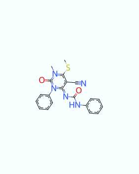 CSc1c(C#N)c(=NC(=O)Nc2ccccc2)n(-c2ccccc2)c(=O)n1C